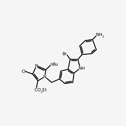 CCCCc1nc(Cl)c(C(=O)OCC)n1Cc1ccc2[nH]c(-c3ccc(N)cc3)c(Br)c2c1